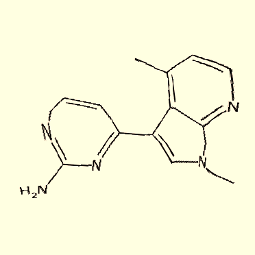 Cc1ccnc2c1c(-c1ccnc(N)n1)cn2C